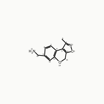 Cc1noc2c1-c1ccc(CN)cc1OC2